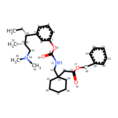 CC[C@H](c1cccc(OC(=O)NCC2(CC(=O)OCc3ccccc3)CCCCC2)c1)[C@@H](C)CN(C)C